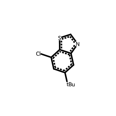 CC(C)(C)c1cc(Cl)c2scnc2c1